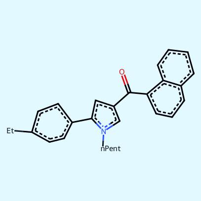 CCCCCn1cc(C(=O)c2cccc3ccccc23)cc1-c1ccc(CC)cc1